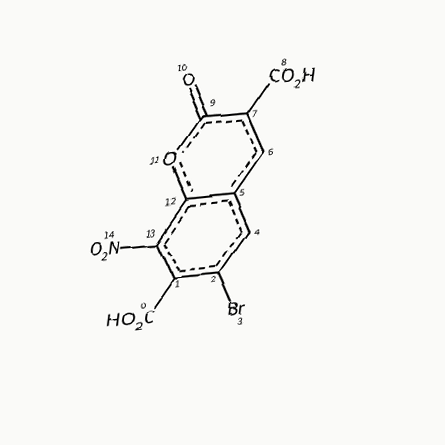 O=C(O)c1c(Br)cc2cc(C(=O)O)c(=O)oc2c1[N+](=O)[O-]